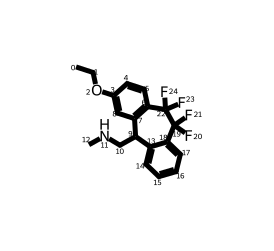 CCOc1ccc2c(c1)C(CNC)c1ccccc1C(F)(F)C2(F)F